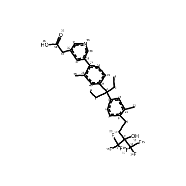 CCC(CC)(c1ccc(CCC(O)(C(F)(F)F)C(F)(F)F)c(C)c1)c1ccc(-c2cncc(CC(=O)O)c2)c(C)c1